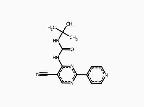 CC(C)(C)NC(=O)Nc1nc(-c2ccncc2)ncc1C#N